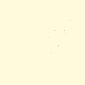 Cc1cc(Oc2nnc(C3CC3)s2)ccc1NC(=O)N[C@@H](C)c1ncnn1-c1ncccn1